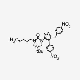 C=CCCCN1CN(C(C)(C)C)CN(c2snc(Cc3ccc([N+](=O)[O-])cc3)c2-c2ccc([N+](=O)[O-])cc2)C1=O